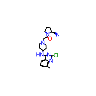 Cc1cccc2c(NC3CCN(CC(=O)N4CCCC4C#N)CC3)nc(Cl)nc12